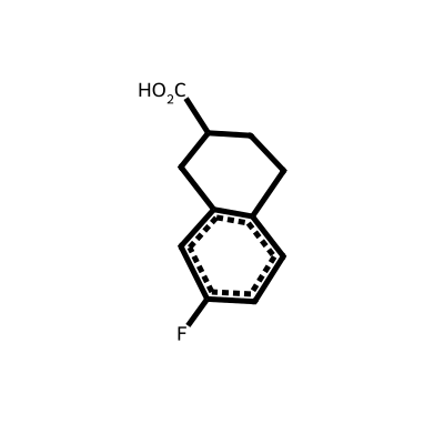 O=C(O)C1CCc2ccc(F)cc2C1